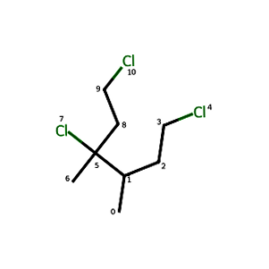 C[C](CCCl)C(C)(Cl)CCCl